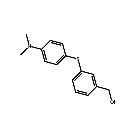 CN(C)c1ccc(Sc2cccc(CO)c2)cc1